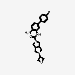 Nc1ccc(-c2ccc(F)cc2)cc1NC(=O)N1CC2CN(C3COC3)CC2C1